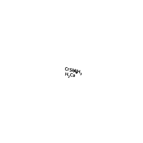 [AlH3].[CaH2].[Cr].[SiH4]